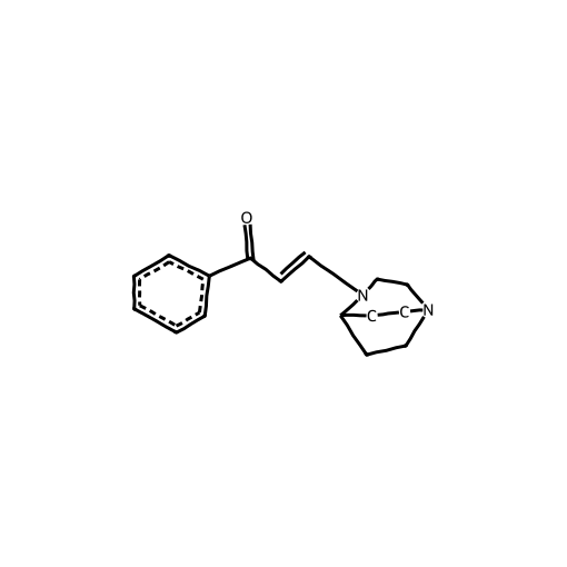 O=C(C=CN1CCN2CCC1CC2)c1ccccc1